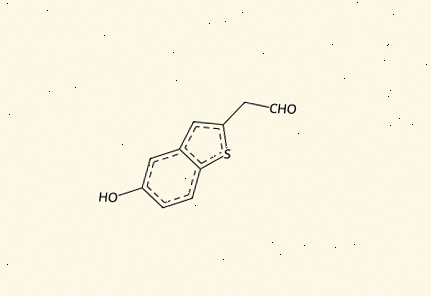 O=CCc1cc2cc(O)ccc2s1